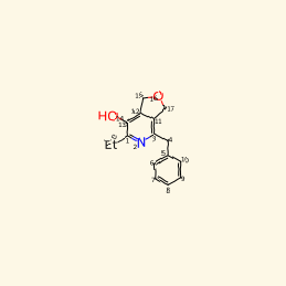 CCc1nc(Cc2ccccc2)c2c(c1O)COC2